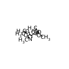 CCOP(=O)(CC(O)c1cnc(C)c2c1COC(C)(C)O2)OCC